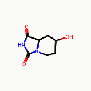 O=C1NC(=O)N2CCC(O)CC12